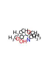 COc1cc2c(cc1O)/C(=C(\C#N)C(=O)C(C)(C)C)CC2(C)C